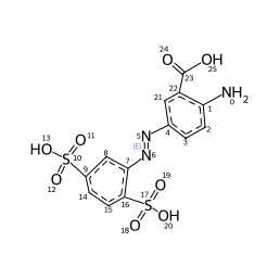 Nc1ccc(/N=N/c2cc(S(=O)(=O)O)ccc2S(=O)(=O)O)cc1C(=O)O